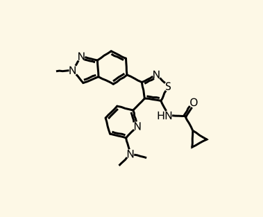 CN(C)c1cccc(-c2c(-c3ccc4nn(C)cc4c3)nsc2NC(=O)C2CC2)n1